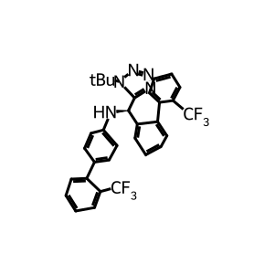 CC(C)(C)n1nnnc1[C@H](Nc1ccc(-c2ccccc2C(F)(F)F)cc1)c1ccccc1-c1ccccc1C(F)(F)F